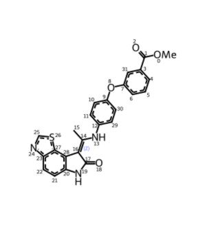 COC(=O)c1cccc(Oc2ccc(N/C(C)=C3\C(=O)Nc4ccc5ncsc5c43)cc2)c1